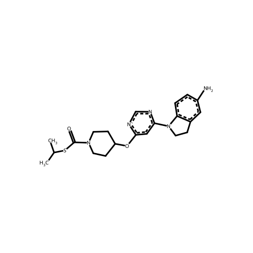 CC(C)SC(=O)N1CCC(Oc2cc(N3CCc4cc(N)ccc43)ncn2)CC1